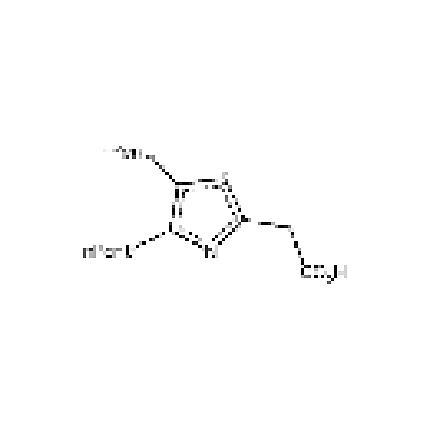 CCCCCc1nc(CC(=O)O)sc1CCCCC